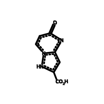 O=C(O)c1cc2nc(=O)ccn2[nH]1